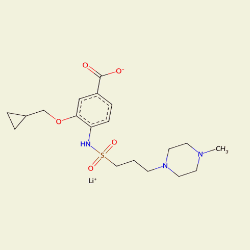 CN1CCN(CCCS(=O)(=O)Nc2ccc(C(=O)[O-])cc2OCC2CC2)CC1.[Li+]